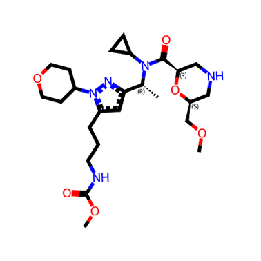 COC[C@@H]1CNC[C@H](C(=O)N(C2CC2)[C@H](C)c2cc(CCCNC(=O)OC)n(C3CCOCC3)n2)O1